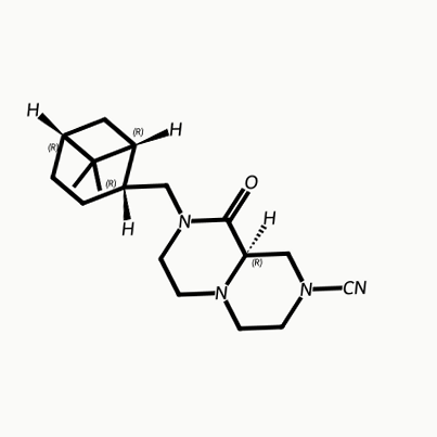 CC1(C)[C@@H]2CC[C@@H](CN3CCN4CCN(C#N)C[C@@H]4C3=O)[C@H]1C2